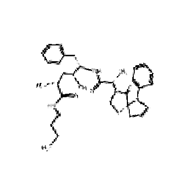 CCCCNC(=O)[C@H](C)C[C@H](O)[C@H](Cc1ccccc1)NC(=O)[C@H](C)N1CC[C@]2(CCCN2c2ccccc2)C1=O